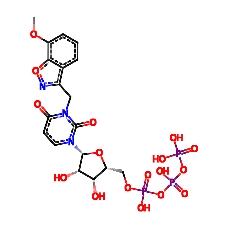 COc1cccc2c(Cn3c(=O)ccn([C@@H]4O[C@H](COP(=O)(O)OP(=O)(O)OP(=O)(O)O)[C@H](O)[C@@H]4O)c3=O)noc12